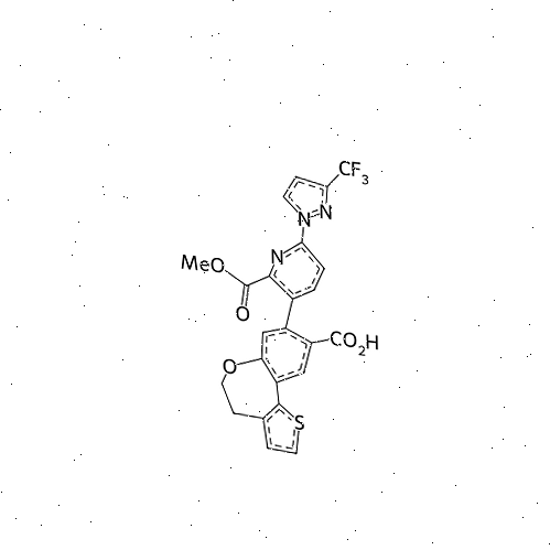 COC(=O)c1nc(-n2ccc(C(F)(F)F)n2)ccc1-c1cc2c(cc1C(=O)O)-c1sccc1CCO2